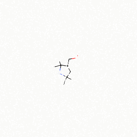 CC1(C)CC(CO[N+](=O)[O-])C(C)(C)N1